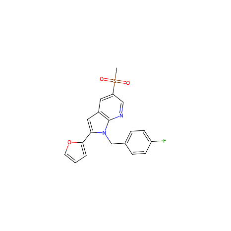 CS(=O)(=O)c1cnc2c(c1)cc(-c1ccco1)n2Cc1ccc(F)cc1